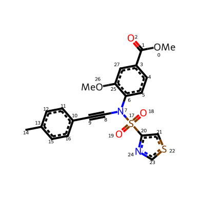 COC(=O)c1ccc(N(C#Cc2ccc(C)cc2)S(=O)(=O)c2cscn2)c(OC)c1